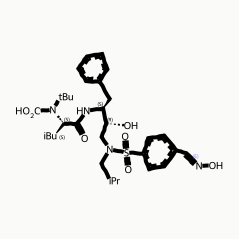 CC[C@H](C)[C@@H](C(=O)N[C@@H](Cc1ccccc1)[C@H](O)CN(CC(C)C)S(=O)(=O)c1ccc(/C=N/O)cc1)N(C(=O)O)C(C)(C)C